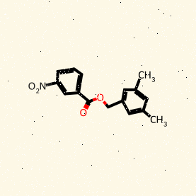 Cc1cc(C)cc(COC(=O)c2cccc([N+](=O)[O-])c2)c1